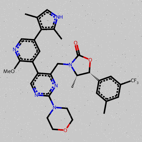 COc1ncc(-c2c(C)c[nH]c2C)cc1-c1cnc(N2CCOCC2)nc1CN1C(=O)O[C@H](c2cc(C)cc(C(F)(F)F)c2)[C@@H]1C